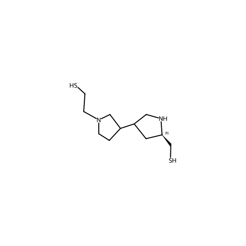 SCCN1CCC(C2CN[C@@H](CS)C2)C1